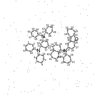 c1ccc(N(c2ccccc2)c2cc(-c3ccc(N(c4ccccc4)c4ccc5oc6ccccc6c5c4)c4ccccc34)cc(N(c3ccccc3)c3ccccc3)c2)cc1